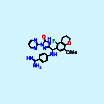 COc1cc(C(Nc2ccc(C(=N)N)cc2)c2nn(-c3ncccn3)c(=O)[nH]2)c(F)c2c1OCCC2